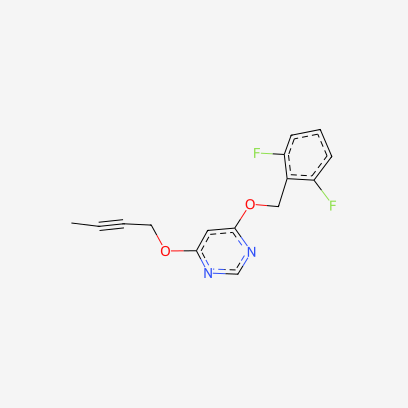 CC#CCOc1cc(OCc2c(F)cccc2F)ncn1